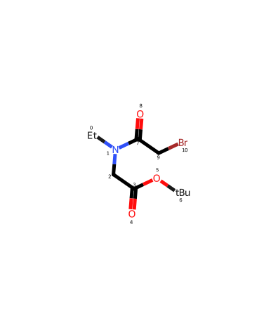 CCN(CC(=O)OC(C)(C)C)C(=O)CBr